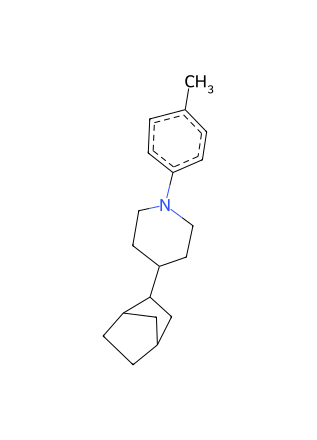 Cc1ccc(N2CCC(C3CC4CCC3C4)CC2)cc1